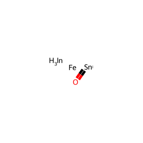 [Fe].[InH3].[O]=[Sn]